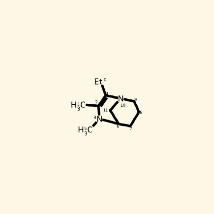 CCC1=C(C)N(C)C2CCCN1C2